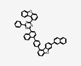 c1ccc(-c2nc(-c3ccc(-c4ccc(-c5cccc6oc7cc(-c8ccc9ccccc9c8)ccc7c56)cc4)c4ccccc34)nc(-c3cccc4oc5ccccc5c34)n2)cc1